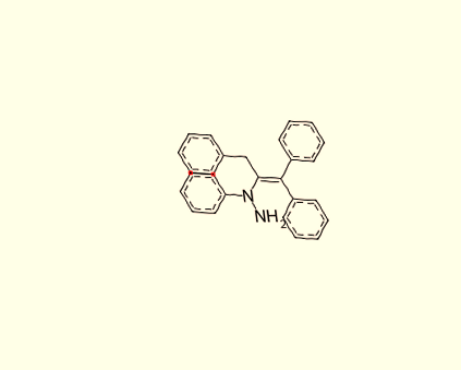 NN(C(Cc1ccccc1)=C(c1ccccc1)c1ccccc1)c1ccccc1